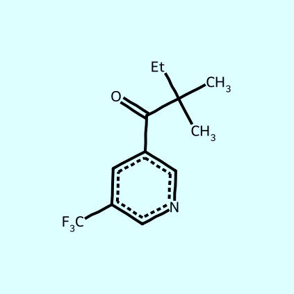 CCC(C)(C)C(=O)c1cncc(C(F)(F)F)c1